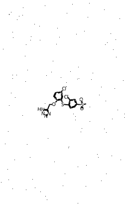 CS(=O)(=O)c1ccc(Sc2cc(Cl)ccc2OCc2nnn[nH]2)c(Cl)c1